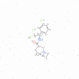 CCC(CN1CCC1)C(=O)N[C@H](c1cccc(F)c1)C(F)F